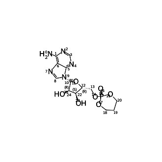 Nc1ncnc2c1ncn2[C@@H]1O[C@H](COP2(=O)OCCCO2)[C@@H](O)[C@H]1O